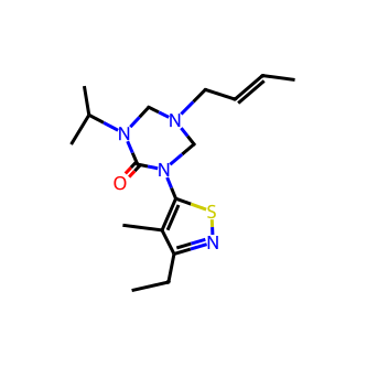 CC=CCN1CN(c2snc(CC)c2C)C(=O)N(C(C)C)C1